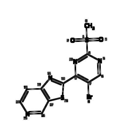 CS(=O)(=O)c1ncc(Br)c(-c2nc3ccncc3s2)n1